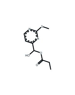 CCC(=O)OC(O)c1ccnc(SC)n1